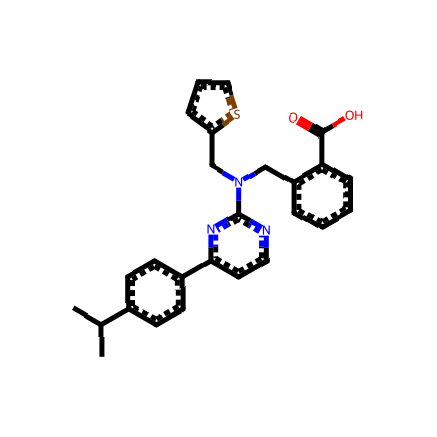 CC(C)c1ccc(-c2ccnc(N(Cc3cccs3)Cc3ccccc3C(=O)O)n2)cc1